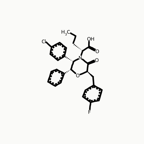 CCC[C@H](C(=O)O)N1C(=O)[C@@H](Cc2ccc(F)cc2)O[C@H](c2ccccc2)[C@@H]1c1ccc(Cl)cc1